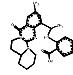 Cc1cc(C(C)Nc2ccccc2C(=O)O)c2nc3n(c(=O)c2c1)CCC1CCCCN31